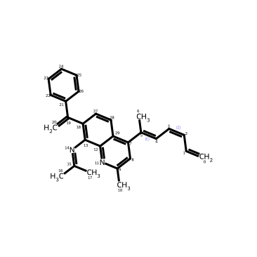 C=C/C=C\C=C(/C)c1cc(C)nc2c(N=C(C)C)c(C(=C)c3ccccc3)ccc12